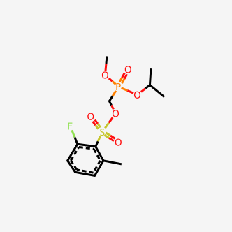 COP(=O)(COS(=O)(=O)c1c(C)cccc1F)OC(C)C